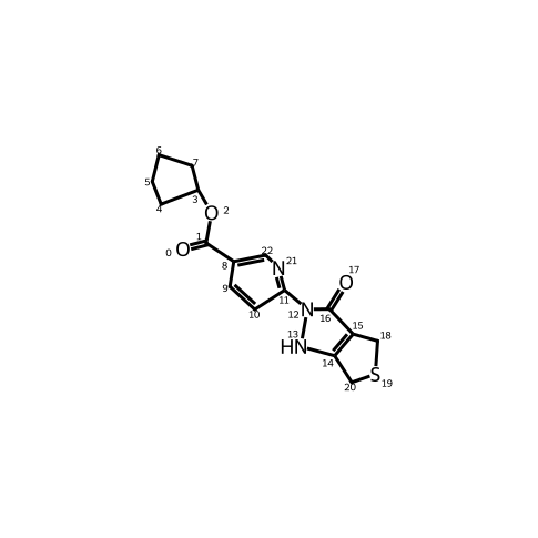 O=C(OC1CCCC1)c1ccc(-n2[nH]c3c(c2=O)CSC3)nc1